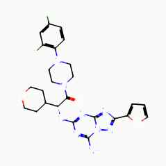 Nc1nc(N[C@H](C(=O)N2CCN(c3ccc(F)cc3F)CC2)C2CCOCC2)nc2nc(-c3ccco3)nn12